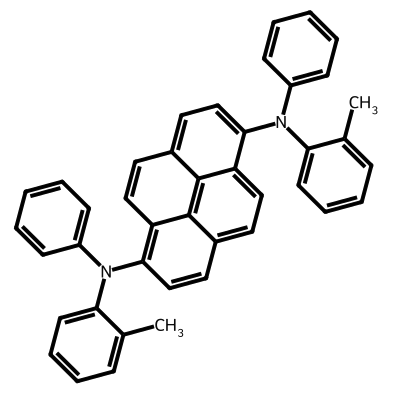 Cc1ccccc1N(c1ccccc1)c1ccc2ccc3c(N(c4ccccc4)c4ccccc4C)ccc4ccc1c2c43